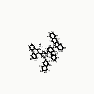 CC1c2ccccc2-c2ccccc2C1c1nc(-c2ccc3ccccc3c2)nc(-c2ccc(-n3c4ccccc4c4cc5ccccc5cc43)c3oc4ccccc4c23)n1